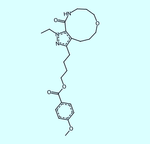 CCn1nc(CCCCOC(=O)c2ccc(OC)cc2)c2c1C(=O)NCCCOCCC2